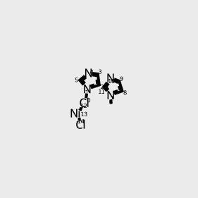 Cn1ccnc1.Cn1ccnc1.[Cl][Ni][Cl]